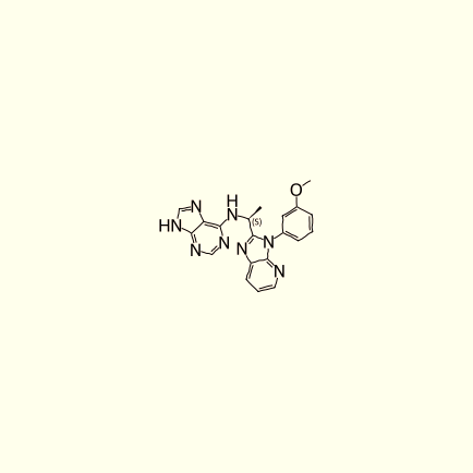 COc1cccc(-n2c([C@H](C)Nc3ncnc4[nH]cnc34)nc3cccnc32)c1